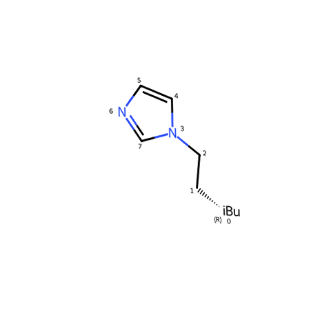 CC[C@@H](C)CCn1ccnc1